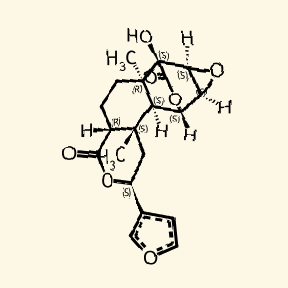 C[C@@]12C[C@@H](c3ccoc3)OC(=O)[C@@H]1CC[C@]1(C)[C@H]2[C@@H]2OC(=O)[C@@]1(O)[C@H]1O[C@@H]21